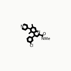 CNC(=O)c1cc(-c2cccc(Cl)c2)c2c(C)c(-c3ccncc3)c(C)cc2n1